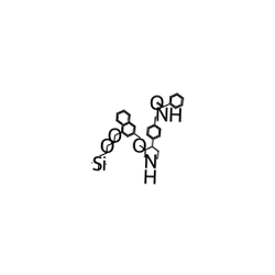 C[Si](C)(C)CCOCOc1cc(COC2CNCCC2c2ccc(CNC(=O)c3ccccc3)cc2)cc2ccccc12